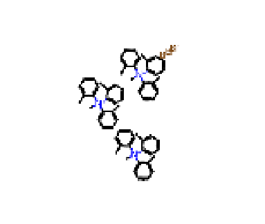 Cc1ccccc1[N+](C)(c1ccccc1C)c1ccccc1C.Cc1ccccc1[N+](C)(c1ccccc1C)c1ccccc1C.Cc1ccccc1[N+](C)(c1ccccc1C)c1ccccc1C.[Br-].[Br-].[Br-]